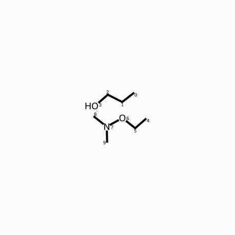 CCCO.CCON(C)C